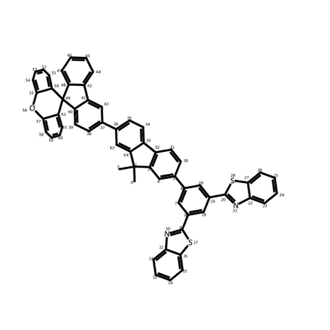 CC1(C)c2cc(-c3cc(-c4nc5ccccc5s4)cc(-c4nc5ccccc5s4)c3)ccc2-c2ccc(-c3ccc4c(c3)-c3ccccc3C43c4ccccc4Oc4ccccc43)cc21